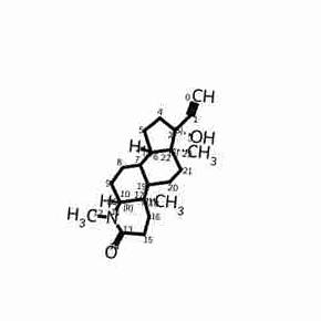 C#C[C@]1(O)CC[C@H]2C3CC[C@H]4N(C)C(=O)CC[C@]4(C)C3CC[C@@]21C